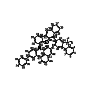 CC1(C)c2ccccc2-c2ccc(-c3c4ccccc4cc4c3oc3c(N(c5ccc(-c6ccccc6)cc5)c5cccc6ccccc56)cccc34)cc21